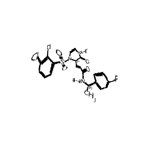 C[C@@H](NC(=O)C[C@@H]1C(=O)NC=CN1S(=O)(=O)c1cccc(Cl)c1Cl)c1ccc(F)cc1